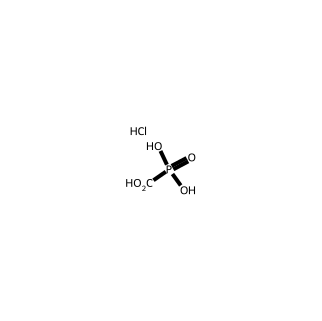 Cl.O=C(O)P(=O)(O)O